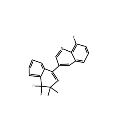 CC1(C)N=C(c2cnc3c(F)cccc3c2)c2ccccc2C1(F)F